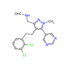 Cn1nc(CNC=O)c(CCc2cccc(Cl)c2Cl)c1-c1cncnc1